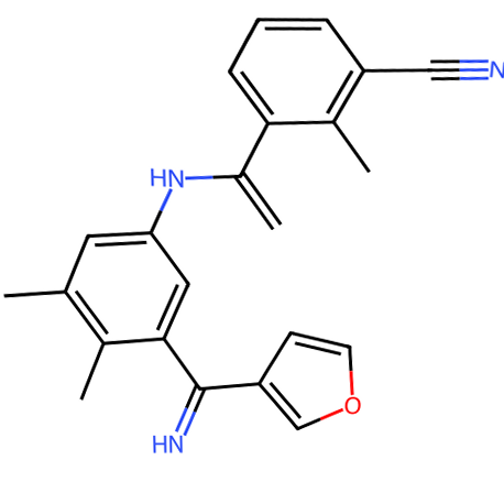 C=C(Nc1cc(C)c(C)c(C(=N)c2ccoc2)c1)c1cccc(C#N)c1C